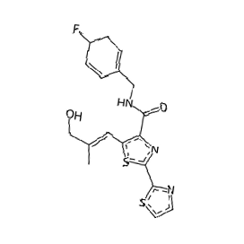 C/C(=C\c1sc(-c2nccs2)nc1C(=O)NCC1=CCC(F)C=C1)CO